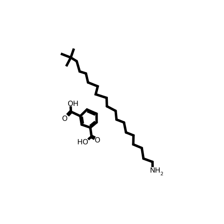 CC(C)(C)CCCCCCCCCCCCCCCCCN.O=C(O)c1cccc(C(=O)O)c1